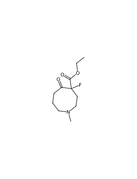 CCOC(=O)C1(F)CCN(C)CCCC1=O